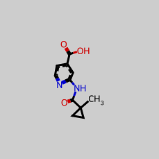 CC1(C(=O)Nc2cc(C(=O)O)ccn2)CC1